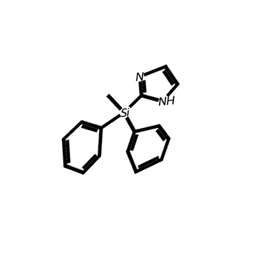 C[Si](c1ccccc1)(c1ccccc1)c1ncc[nH]1